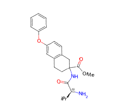 COC(=O)C1(NC(=O)[C@@H](N)C(C)C)CCc2cc(Oc3ccccc3)ccc2C1